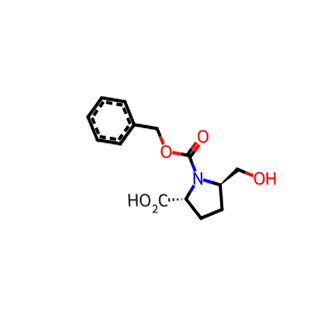 O=C(O)[C@H]1CC[C@H](CO)N1C(=O)OCc1ccccc1